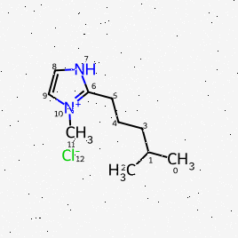 CC(C)CCCc1[nH]cc[n+]1C.[Cl-]